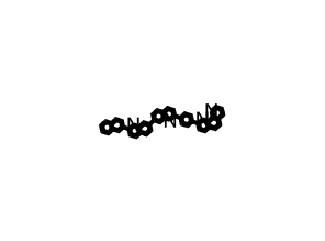 c1ccc2cc(-c3ccc4ccc(-c5ccc6ccc(-c7ccc(-c8ccc9ccc%10cccnc%10c9n8)cc7)nc6c5)cc4n3)ccc2c1